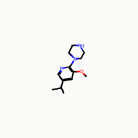 COc1cc(C(C)C)cnc1N1CCNCC1